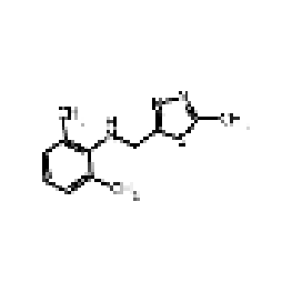 Cc1nnc(CNc2c(C)cccc2C)s1